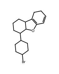 BrC1CCC(C2CCCC3C4=C(C=CCC4)OC32)CC1